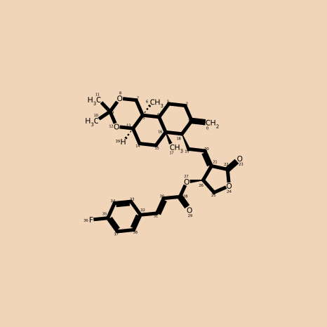 C=C1CCC2[C@]3(C)COC(C)(C)O[C@@H]3CC[C@@]2(C)[C@@H]1C/C=C1/C(=O)OC[C@H]1OC(=O)/C=C/c1ccc(F)cc1